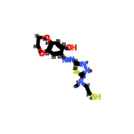 CN(CCS)c1nnc(/N=N/c2cc3c(cc2O)OCCO3)s1